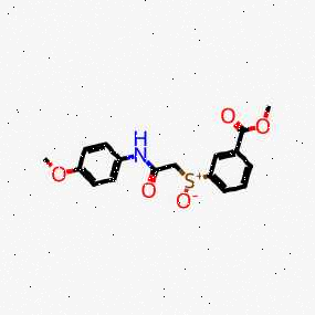 COC(=O)c1cccc([S+]([O-])CC(=O)Nc2ccc(OC)cc2)c1